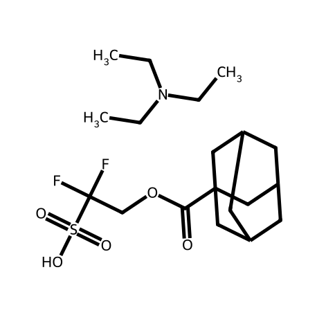 CCN(CC)CC.O=C(OCC(F)(F)S(=O)(=O)O)C12CC3CC(CC(C3)C1)C2